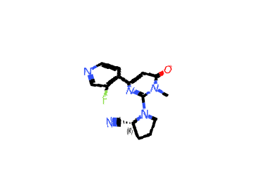 Cn1c(N2CCC[C@@H]2C#N)nc(-c2ccncc2F)cc1=O